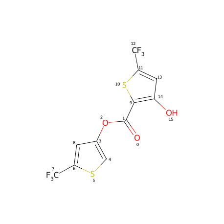 O=C(Oc1csc(C(F)(F)F)c1)c1sc(C(F)(F)F)cc1O